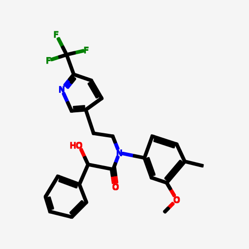 COc1cc(N(CCc2ccc(C(F)(F)F)nc2)C(=O)C(O)c2ccccc2)ccc1C